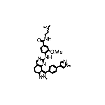 COc1cc(C(=O)NCCN(C)C)ccc1Nc1ncc2c(n1)-c1c(nn(C)c1-c1ccc(-c3cnn(C)c3)cc1)CC2